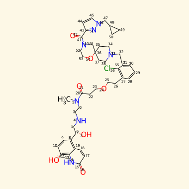 CN(CCNC[C@H](O)c1ccc(O)c2[nH]c(=O)ccc12)C(=O)CCOCCc1cccc(CN2CCC3(CC2)CN(C(=O)c2ccn(CC4CC4)n2)CCO3)c1Cl